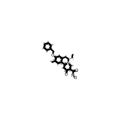 CC[C@H]1Cc2cc(OCc3ccccc3)c(C)cc2-c2cc(=O)c(C(=O)N=O)cn21